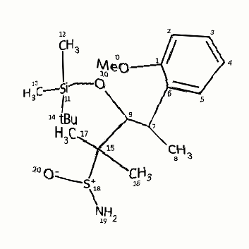 COc1ccccc1C(C)C(O[Si](C)(C)C(C)(C)C)C(C)(C)[S+](N)[O-]